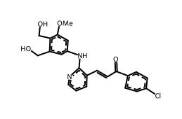 COc1cc(Nc2ncccc2/C=C/C(=O)c2ccc(Cl)cc2)cc(CO)c1CO